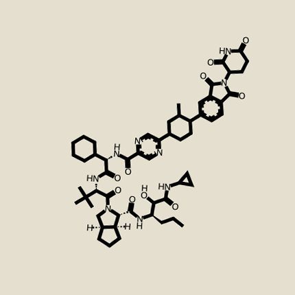 CCC[C@@H](NC(=O)[C@@H]1[C@H]2CCC[C@H]2CN1C(=O)[C@@H](NC(=O)[C@@H](NC(=O)c1cnc(C2CCC(c3ccc4c(c3)C(=O)N(C3CCC(=O)NC3=O)C4=O)C(C)C2)cn1)C1CCCCC1)C(C)(C)C)C(O)C(=O)NC1CC1